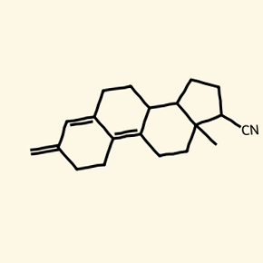 C=C1C=C2CCC3C(=C2CC1)CCC1(C)C(C#N)CCC31